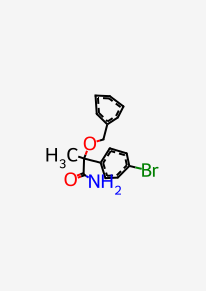 CC(OCc1ccccc1)(C(N)=O)c1ccc(Br)cc1